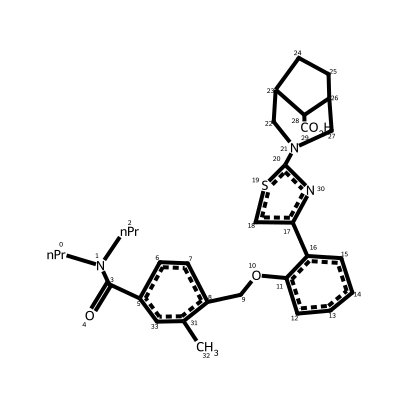 CCCN(CCC)C(=O)c1ccc(COc2ccccc2-c2csc(N3CC4CCC(C3)C4C(=O)O)n2)c(C)c1